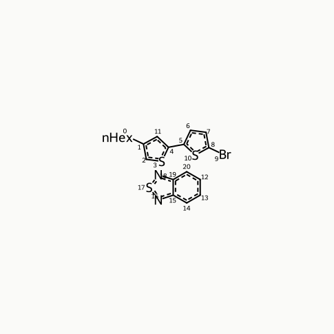 CCCCCCc1csc(-c2ccc(Br)s2)c1.c1ccc2nsnc2c1